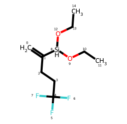 C=C(CCC(F)(F)F)[SiH](OCC)OCC